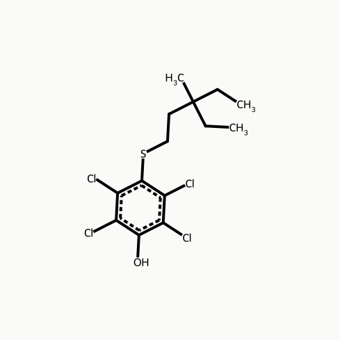 CCC(C)(CC)CCSc1c(Cl)c(Cl)c(O)c(Cl)c1Cl